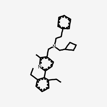 CCc1cccc(CC)c1-c1ccc(CN(CCc2ccccc2)CC2CCC2)c(C)n1